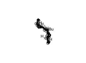 Cc1c(C(=O)NC[C@@H]2COCCO2)oc2c1-c1nn(CCN(C(=O)OC(=O)NCCn3cc4c(n3)-c3c(oc(C(=O)NC[C@@H]5CCCO5)c3C)CC4)C(C)(C)C)cc1CC2